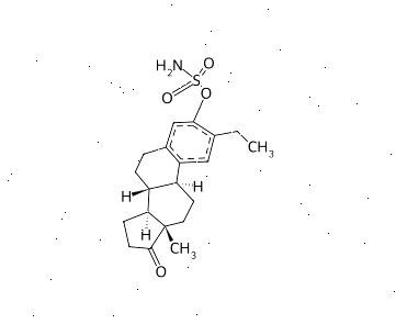 CCc1cc2c(cc1OS(N)(=O)=O)CC[C@@H]1[C@@H]2CC[C@]2(C)C(=O)CC[C@@H]12